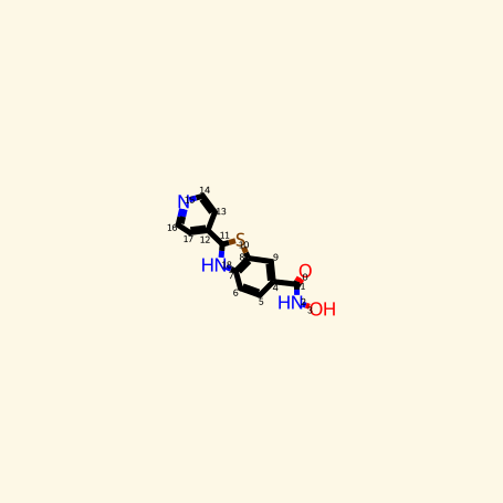 O=C(NO)c1ccc2c(c1)SC(c1ccncc1)N2